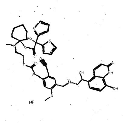 COc1cc(NC(=O)OCCN(C)C2(OC(=O)C(O)(c3cccs3)c3cccs3)CCCCC2)c(C#N)cc1CNCC(O)c1ccc(O)c2[nH]c(=O)ccc12.F